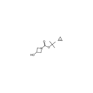 C1=CC1.CC(C)(C)OC(=O)N1CC(O)C1